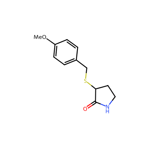 COc1ccc(CSC2CCNC2=O)cc1